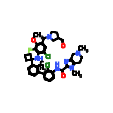 COc1c(CN2CCC(C=O)C2)cc(Cl)c(NC2(c3cccc(-c4cccc(NC(=O)c5nc6c(n5C)CCN(C)C6)c4Cl)c3C)CCC2)c1F